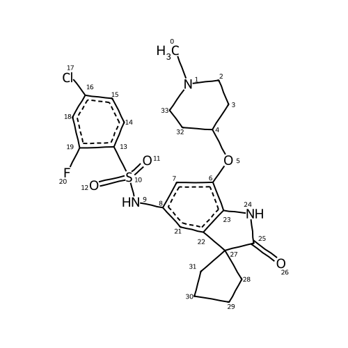 CN1CCC(Oc2cc(NS(=O)(=O)c3ccc(Cl)cc3F)cc3c2NC(=O)C32CCCC2)CC1